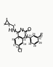 O=c1nc(NCC2CC2)c2ccc(Cl)cc2n1-c1cccc(F)c1